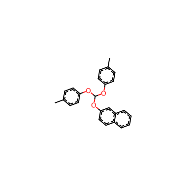 Cc1ccc(OC(Oc2ccc(C)cc2)Oc2ccc3ccccc3c2)cc1